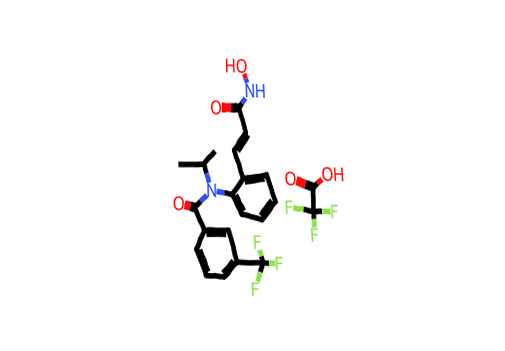 CC(C)N(C(=O)c1cccc(C(F)(F)F)c1)c1ccccc1C=CC(=O)NO.O=C(O)C(F)(F)F